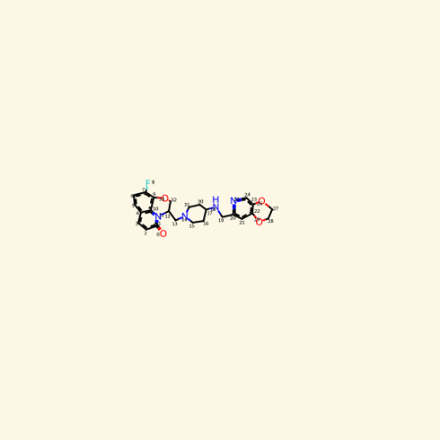 O=c1ccc2ccc(F)c3c2n1C(CN1CCC(NCc2cc4c(cn2)OCCO4)CC1)CO3